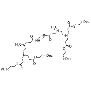 CCCCCCCCCCCCOC(=O)CCN(CCC(=O)OCCCCCCCCCCCC)CCN(C)CCC(=O)NCCNC(=O)CCN(C)CCN(CCC(=O)OCCCCCCCCCCCC)CCC(=O)OCCCCCCCCCCCC